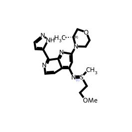 COCC/S(C)=N/c1cc(N2CCOC[C@H]2C)nc2c(-c3ccn[nH]3)nccc12